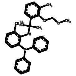 COCOc1c(C)cccc1C(C)(C)Pc1c(C)cccc1P(c1ccccc1)c1ccccc1